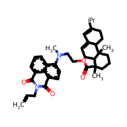 C=CCN1C(=O)c2cccc3c(N(C)CCOC(=O)C4(C)CCCC5(C)C6CCC(C(C)C)=CC6=CCC45)ccc(c23)C1=O